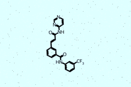 O=C(/C=C/c1cccc(C(=O)Nc2cccc(C(F)(F)F)c2)c1)Nc1ccncn1